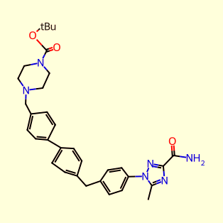 Cc1nc(C(N)=O)nn1-c1ccc(Cc2ccc(-c3ccc(CN4CCN(C(=O)OC(C)(C)C)CC4)cc3)cc2)cc1